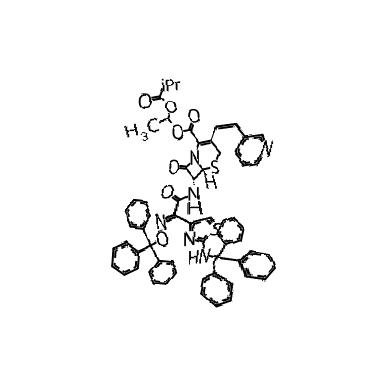 CC(OC(=O)C1=C(/C=C\c2cccnc2)CS[C@@H]2[C@H](NC(=O)/C(=N/OC(c3ccccc3)(c3ccccc3)c3ccccc3)c3csc(NC(c4ccccc4)(c4ccccc4)c4ccccc4)n3)C(=O)N12)OC(=O)C(C)C